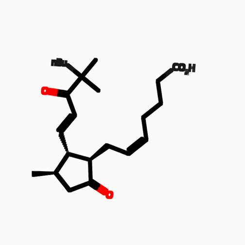 CCCCC(C)(C)C(=O)/C=C/[C@H]1[C@H](C)CC(=O)[C@@H]1C/C=C\CCCC(=O)O